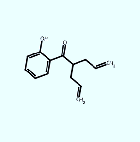 C=CCC(CC=C)C(=O)c1ccccc1O